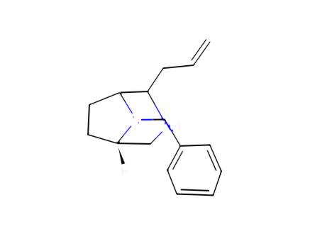 C=CCC1NC[C@@H]2CCC1N2Cc1ccccc1